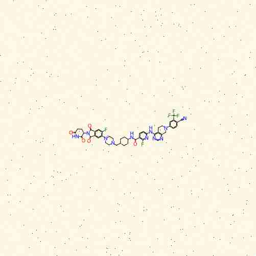 N#Cc1ccc(N2CCc3c(ncnc3Nc3ccc(C(=O)NC4CCC(CN5CCN(c6cc7c(cc6F)C(=O)N(C6CCC(=O)NC6=O)C7=O)CC5)CC4)c(F)n3)C2)cc1C(F)(F)F